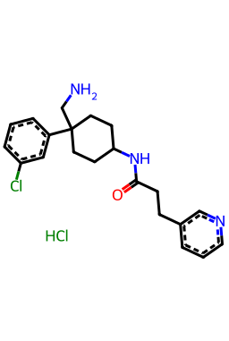 Cl.NCC1(c2cccc(Cl)c2)CCC(NC(=O)CCc2cccnc2)CC1